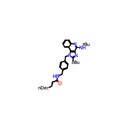 CCCCCCCCCCCCC(=O)NCc1ccc(Cn2c(CCCC)nc3c(NC(C)(C)C)nc4ccccc4c32)cc1